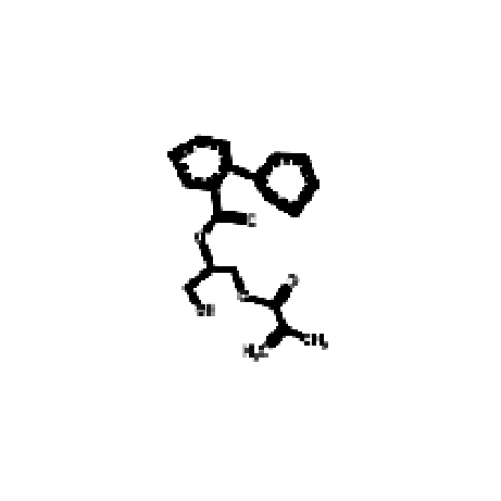 C=C(C)C(=O)OCC(CO)OC(=O)c1ccccc1-c1ccccc1